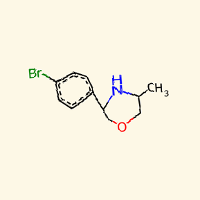 CC1COCC(c2ccc(Br)cc2)N1